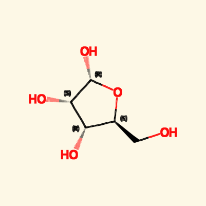 OC[C@@H]1O[C@@H](O)[C@@H](O)[C@H]1O